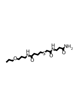 CCCOCCCNC(=O)CCCSCC(=O)NCCC(N)=O